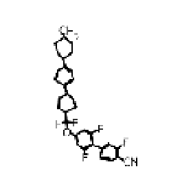 CC1CCC(c2ccc(C3CCC(C(F)(F)Oc4cc(F)c(-c5ccc(C#N)c(F)c5)c(F)c4)CC3)cc2)CC1